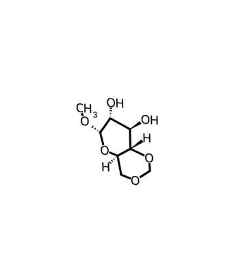 CO[C@H]1O[C@@H]2COCO[C@H]2[C@H](O)[C@H]1O